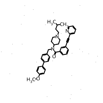 COc1ccc(-c2ccc(CN(C(=O)c3cccc(C#Cc4ccccn4)c3)C3CCN(CCC(C)C)CC3)cc2)cc1